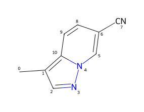 Cc1cnn2cc(C#N)ccc12